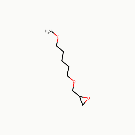 [SiH3]OCCCCCOCC1CO1